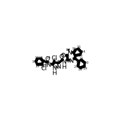 CN1C(=O)C(NC(=O)c2n[nH]c(NC(=O)c3ccccc3Cl)c2Cl)N=C(c2ccccc2)c2ccccc21